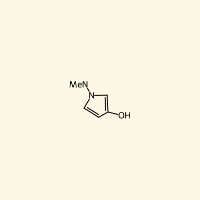 CNn1ccc(O)c1